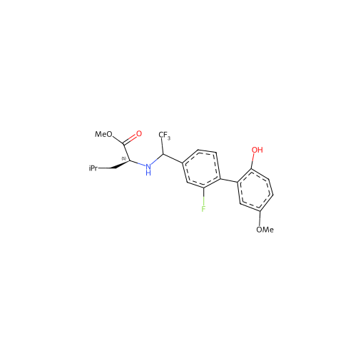 COC(=O)[C@H](CC(C)C)NC(c1ccc(-c2cc(OC)ccc2O)c(F)c1)C(F)(F)F